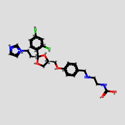 O=C(O)NCCNCc1ccc(OC[C@@H]2CO[C@@](CCn3ccnc3)(c3ccc(Cl)cc3Cl)O2)cc1